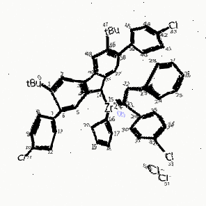 CC(C)(C)c1cc2c(cc1-c1ccc(Cl)cc1)[CH](/[Zr+2]([C]1=CC=CC1)=[C](\Cc1ccccc1)c1ccc(Cl)cc1)c1cc(-c3ccc(Cl)cc3)c(C(C)(C)C)cc1-2.[Cl-].[Cl-]